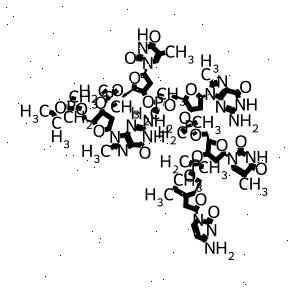 C=P(C)(OC[C@H]1O[C@@H](n2c(C)nc3c(=O)[nH]c(N)nc32)CC1OP(=C)(C)OC[C@H]1O[C@@H](n2cc(C)c(=O)[nH]c2=O)CC1OP(=C)(C)OC[C@H]1O[C@@H](n2c(C)nc3c(=O)[nH]c(N)nc32)CC1OP(=C)(C)OC[C@H]1O[C@@H](n2cc(C)c(=O)[nH]c2=O)CC1OP(=C)(C)OC[C@H]1O[C@@H](n2ccc(N)nc2=O)CC1C(C)C)OC(C)C